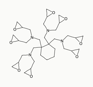 C1CCC(CN(CC2CO2)CC2CO2)(CN(CC2CO2)CC2CO2)C(CN(CC2CO2)CC2CO2)(CN(CC2CO2)CC2CO2)C1